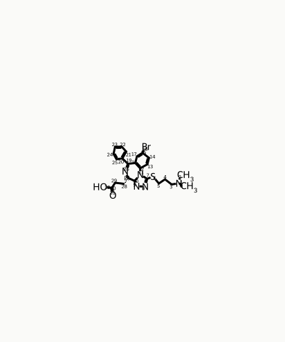 CN(C)CCCSc1nnc2n1-c1ccc(Br)cc1C(c1ccccc1)=N[C@H]2CCC(=O)O